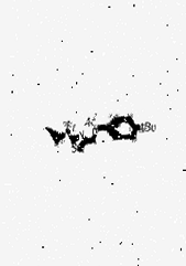 CCN(c1nc(CN(C(C)=O)C2CCC(C(C)(C)C)CC2)cs1)C1CC1